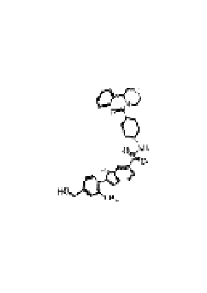 Cc1cc(CO)ccc1-c1cc2ccc(S(=O)(=O)N[C@H]3CC[C@H](C(=O)N4CCOCC4c4ccccc4)CC3)cc2[nH]1